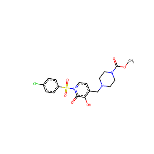 COC(=O)N1CCN(Cc2ccn(S(=O)(=O)c3ccc(Cl)cc3)c(=O)c2O)CC1